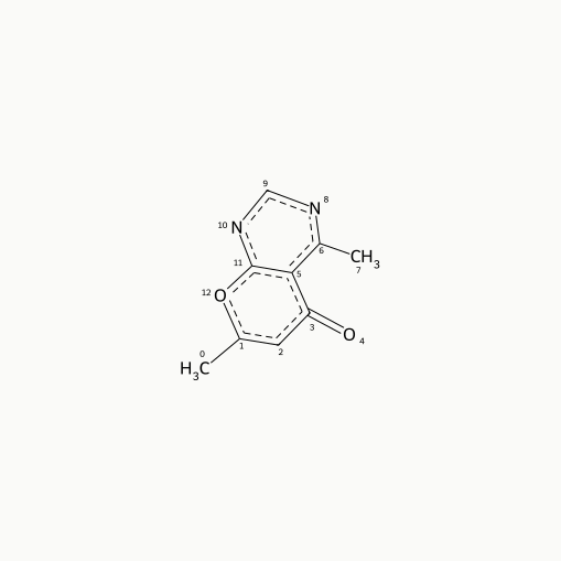 Cc1cc(=O)c2c(C)ncnc2o1